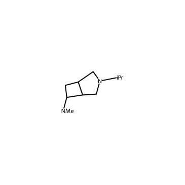 CNC1CC2CN(C(C)C)CC21